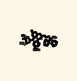 C=C1CC(CC(CCO[Si](c2ccccc2)(c2ccccc2)C(C)(C)C)OCc2ccc(OC)cc2)OC(CC(CC(=O)O)O[Si](C)(C)C(C)(C)C)C1